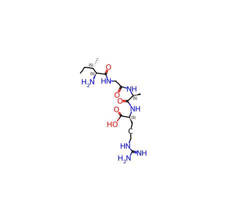 CC[C@H](C)[C@H](N)C(=O)NCC(=O)N[C@@H](C)C(=O)N[C@@H](CCCNC(=N)N)C(=O)O